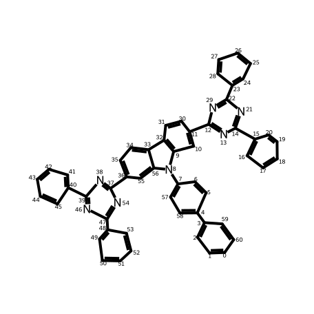 c1ccc(-c2ccc(-n3c4cc(-c5nc(-c6ccccc6)nc(-c6ccccc6)n5)ccc4c4ccc(-c5nc(-c6ccccc6)nc(-c6ccccc6)n5)cc43)cc2)cc1